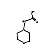 CC[CH]C(=O)NN1CCOCC1